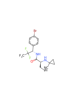 CC(C)C[C@H](NC1(C#N)CC1)C(=O)N[C@@H](c1ccc(Br)cc1)C(F)(F)C(F)(F)F